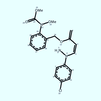 C=C(/C=C\N(N)c1ccc(Cl)cc1)OCc1ccccc1N(OC)C(=O)OC